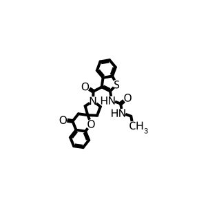 CCNC(=O)Nc1sc2ccccc2c1C(=O)N1CCC2(CC(=O)c3ccccc3O2)C1